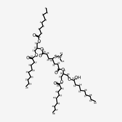 CCCCCCCCC(=O)OCC(COC(=O)CCCCCCCC)OC(=O)CCC(CCC(=O)OC(COC(=O)CCCCCCCC)COC(O)CCCCCCCC)SN(C)C